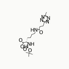 Cc1nnc(CCC(=O)NCCCC[C@H](NC(=O)OC(C)(C)C)C(=O)O)nn1